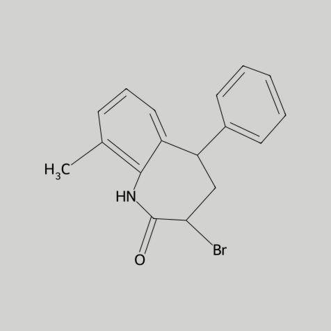 Cc1cccc2c1NC(=O)C(Br)CC2c1ccccc1